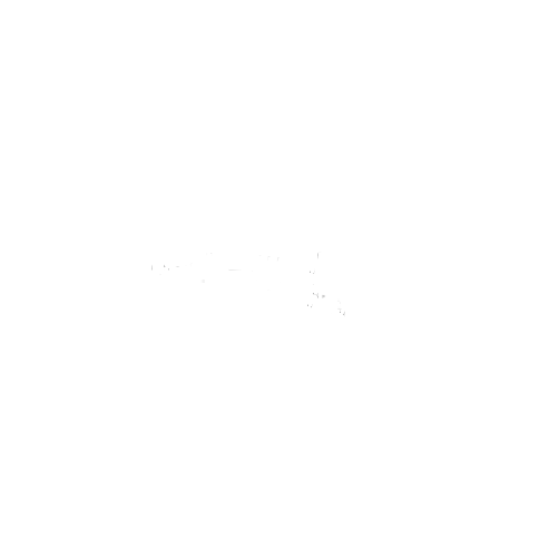 Nc1ccc(-c2ccc(N(F)n3cncn3)c(Cl)c2)cc1